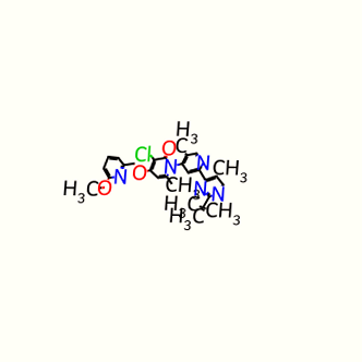 COc1cccc(COc2cc(C)n(-c3cc(-c4nc(C(C)(C)C)ncc4C)ncc3C)c(=O)c2Cl)n1